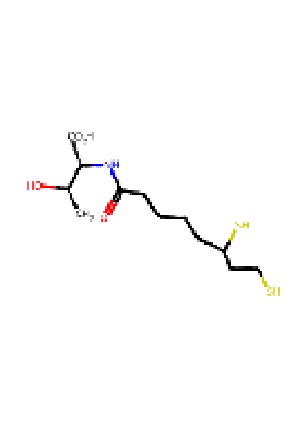 C[C@@H](O)[C@H](NC(=O)CCCCC(S)CCS)C(=O)O